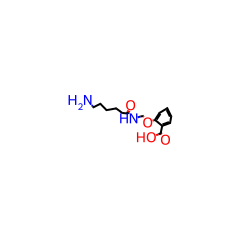 NCCCCCC(=O)NCOc1ccccc1C(=O)O